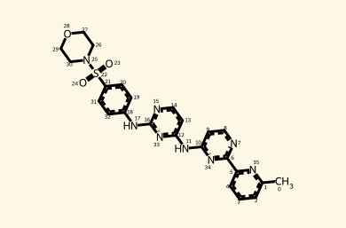 Cc1cccc(-c2nccc(Nc3ccnc(Nc4ccc(S(=O)(=O)N5CCOCC5)cc4)n3)n2)n1